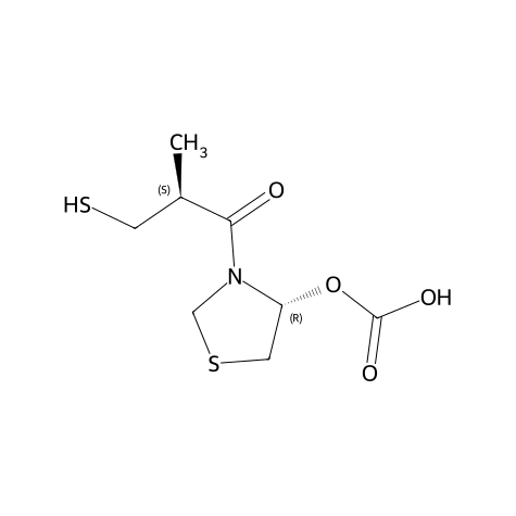 C[C@H](CS)C(=O)N1CSC[C@H]1OC(=O)O